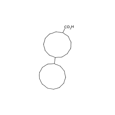 O=C(O)C1CCCCCCC(C2CCCCCCCCCCCC2)CCCCC1